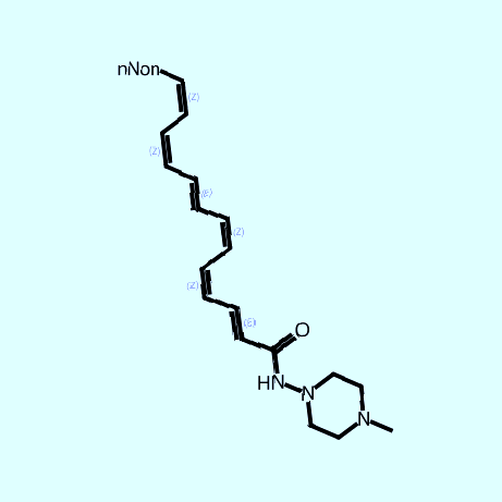 CCCCCCCCC\C=C/C=C\C=C\C=C/C=C\C=C\C(=O)NN1CCN(C)CC1